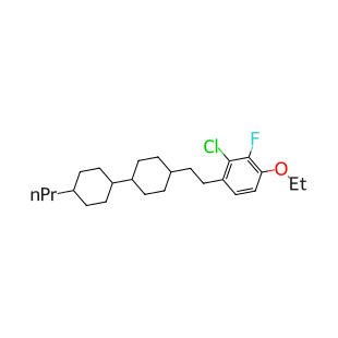 CCCC1CCC(C2CCC(CCc3ccc(OCC)c(F)c3Cl)CC2)CC1